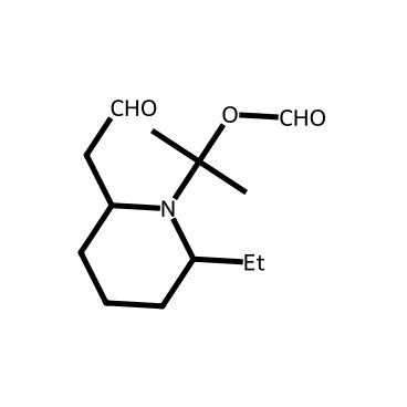 CCC1CCCC(CC=O)N1C(C)(C)OC=O